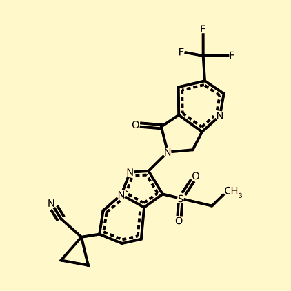 CCS(=O)(=O)c1c(N2Cc3ncc(C(F)(F)F)cc3C2=O)nn2cc(C3(C#N)CC3)ccc12